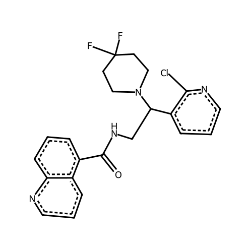 O=C(NCC(c1cccnc1Cl)N1CCC(F)(F)CC1)c1cccc2ncccc12